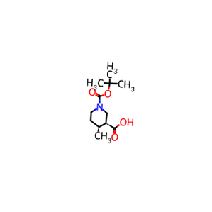 C[C@H]1CCN(C(=O)OC(C)(C)C)C[C@H]1C(=O)O